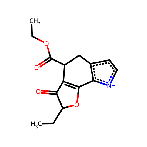 CCOC(=O)C1Cc2cc[nH]c2C2=C1C(=O)C(CC)O2